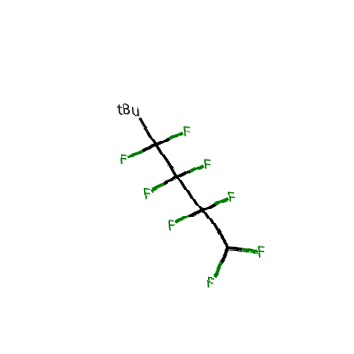 CC(C)(C)C(F)(F)C(F)(F)C(F)(F)C(F)F